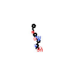 Cc1ncc(-c2ccnc(C(=O)Nc3ccc(OCCc4ccccc4)cc3)c2)cc1C(=O)O